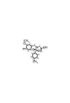 COc1cc(CN(CC(=O)O)S(=O)(=O)c2ccc(C)cc2)ccc1F